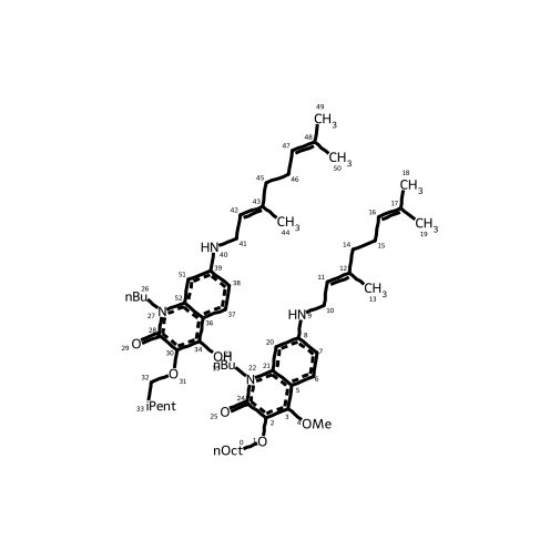 CCCCCCCCOc1c(OC)c2ccc(NC/C=C(\C)CCC=C(C)C)cc2n(CCCC)c1=O.CCCCn1c(=O)c(OCC(C)CCC)c(O)c2ccc(NC/C=C(\C)CCC=C(C)C)cc21